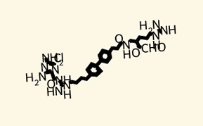 N=C(N)NCCCC(CNC(=O)CCc1ccc(-c2ccc(CCCCNC(=N)NC(=O)c3nc(Cl)c(N)nc3N)cc2)cc1)C(=O)C=O